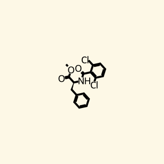 COC(=O)[C@H](Cc1ccccc1)NC(=O)c1c(Cl)cccc1Cl